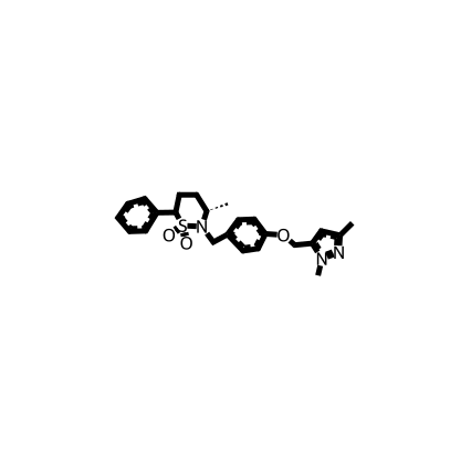 Cc1cc(COc2ccc(CN3[C@@H](C)CCC(c4ccccc4)S3(=O)=O)cc2)n(C)n1